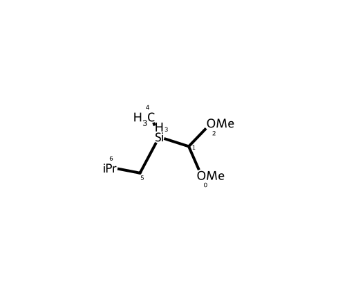 COC(OC)[SiH](C)CC(C)C